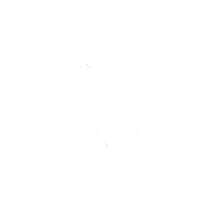 C1=Cc2ccc3ncccc3c2SN=C1